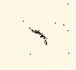 C=CCOCCCCOc1ccc(C(=O)Oc2ccc3c(c2)C(C)c2cc(OC(=O)c4ccc(OCCCCCCCC)cc4)ccc2-3)cc1